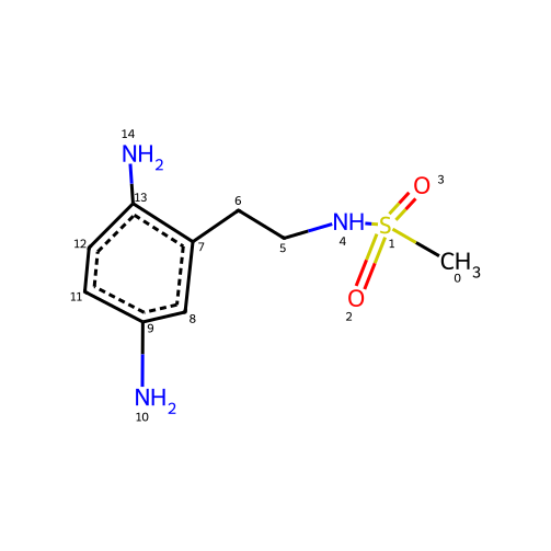 CS(=O)(=O)NCCc1cc(N)ccc1N